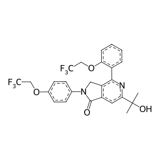 CC(C)(O)c1cc2c(c(-c3ccccc3OCC(F)(F)F)n1)CN(c1ccc(OCC(F)(F)F)cc1)C2=O